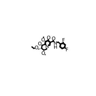 CCOC[C@@H]1C(=O)c2c(OC)c(=O)c(C(=O)NCc3ccc(F)cc3F)cn2C[C@@H]1OC